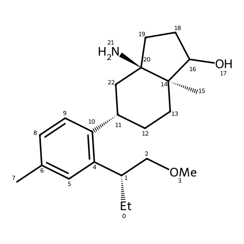 CC[C@@H](COC)c1cc(C)ccc1[C@H]1CC[C@]2(C)C(O)CC[C@@]2(N)C1